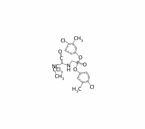 CC(Cl)(Cl)Cl.Cc1cc(OP(=O)(CNC(=C=O)C#N)Oc2ccc(Cl)c(C)c2)ccc1Cl